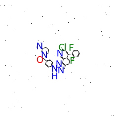 CN(C)C1CCCN(C(=O)c2ccc(Nc3ncc4c(n3)C3=CN=C(Cl)C=C(c5c(F)cccc5F)C3=CC4)cc2)C1